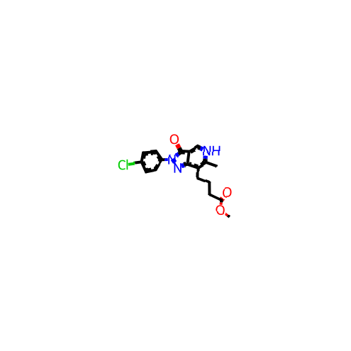 COC(=O)CCCc1c2nn(-c3ccc(Cl)cc3)c(=O)c-2c[nH]c1C